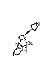 CC(C)(C)Nc1c(-c2ccc(C#Cc3ccncc3)s2)nc2cnccn12